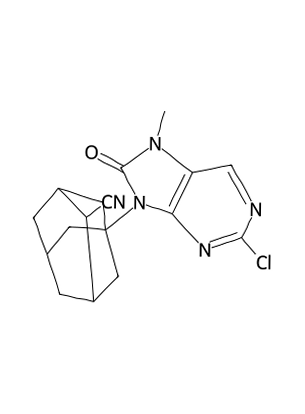 Cn1c(=O)n(C23CC4CC(C2)C(C#N)C(C4)C3)c2nc(Cl)ncc21